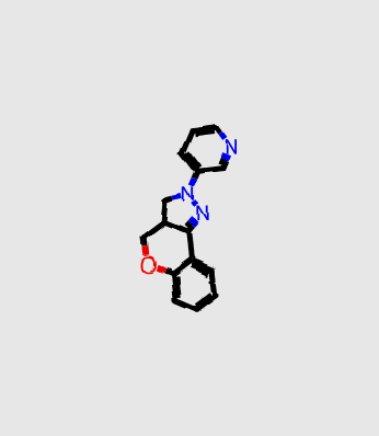 c1cncc(N2CC3COc4ccccc4C3=N2)c1